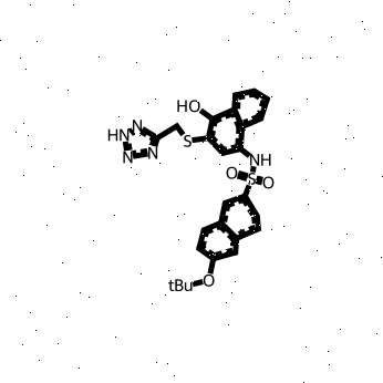 CC(C)(C)Oc1ccc2cc(S(=O)(=O)Nc3cc(SCc4nn[nH]n4)c(O)c4ccccc34)ccc2c1